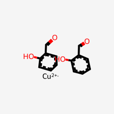 O=Cc1ccccc1O.O=Cc1ccccc1O.[Cu+2]